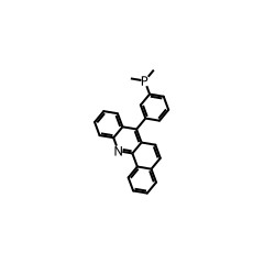 CP(C)c1cccc(-c2c3ccccc3nc3c2ccc2ccccc23)c1